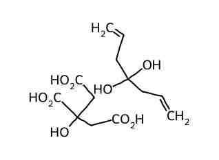 C=CCC(O)(O)CC=C.O=C(O)CC(O)(CC(=O)O)C(=O)O